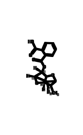 CC1C2OC3[C@@H]1O[C@@H](C2C)[C@@H]3OC(=O)c1ccccc1C(=O)O